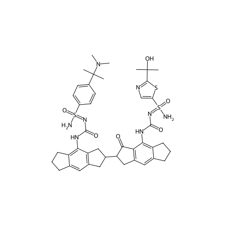 CN(C)C(C)(C)c1ccc(S(N)(=O)=NC(=O)Nc2c3c(cc4c2CC(C2Cc5cc6c(c(NC(=O)N=S(N)(=O)c7cnc(C(C)(C)O)s7)c5C2=O)CCC6)C4)CCC3)cc1